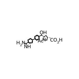 CC(=O)N1C[C@@H](CC(=O)O)C[C@@H]1C(O)c1ccc(-c2ccc(C(=N)N)cc2)cc1